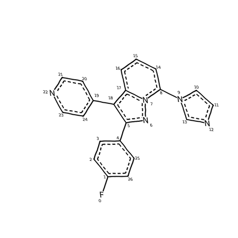 Fc1ccc(-c2nn3c(-n4ccnc4)cccc3c2-c2ccncc2)cc1